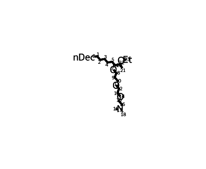 CCCCCCCCCCCCCCCC(OCCCOCCOCCN(C)C)C(C)OCC